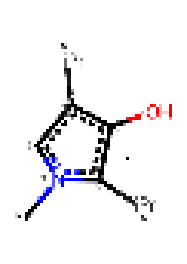 CC(C)c1cn(C)c(C(C)C)c1O